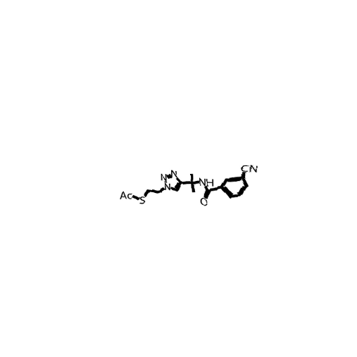 CC(=O)SCCn1cc(C(C)(C)NC(=O)c2cccc(C#N)c2)nn1